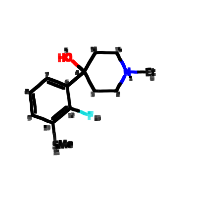 CCN1CCC(O)(c2cccc(SC)c2F)CC1